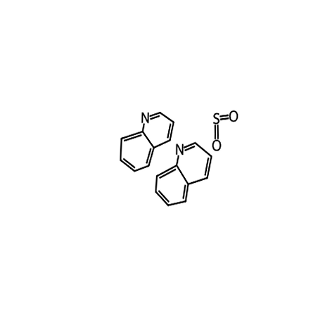 O=S=O.c1ccc2ncccc2c1.c1ccc2ncccc2c1